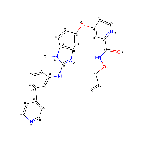 C=CCONC(=O)c1cc(Oc2ccc3c(c2)nc(Nc2cccc(-c4ccncc4)c2)n3C)ccn1